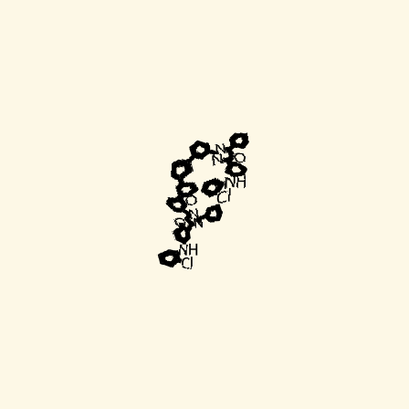 Clc1ccccc1Nc1ccc2oc3c(-c4ccccc4)nc(-c4cccc(-c5cccc(-c6ccc7oc8c(-c9nc(-c%10ccccc%10)nc%10c9oc9ccc(Nc%11ccccc%11Cl)cc9%10)cccc8c7c6)c5)c4)nc3c2c1